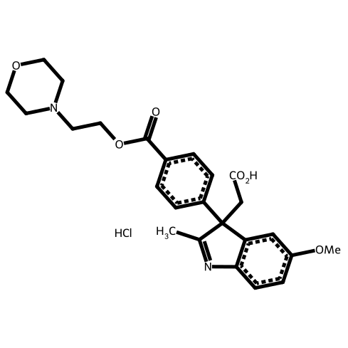 COc1ccc2c(c1)C(CC(=O)O)(c1ccc(C(=O)OCCN3CCOCC3)cc1)C(C)=N2.Cl